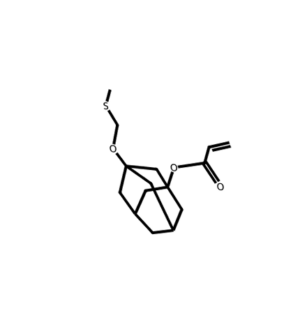 C=CC(=O)OC12CC3CC(CC(OCSC)(C3)C1)C2